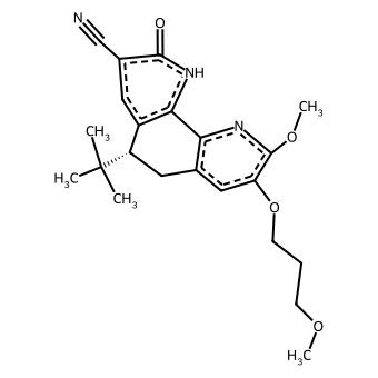 COCCCOc1cc2c(nc1OC)-c1[nH]c(=O)c(C#N)cc1[C@@H](C(C)(C)C)C2